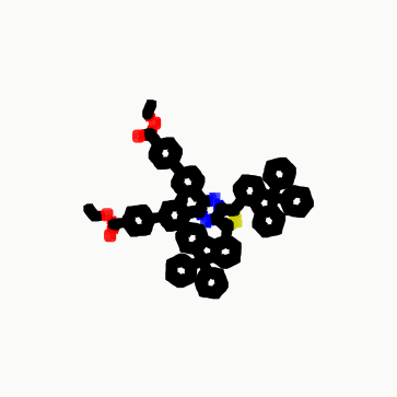 CCOC(=O)c1ccc(-c2ccc3c(c2)c2cc(-c4ccc(C(=O)OCC)cc4)ccc2c2nc4c(-c5cccc6c5-c5ccccc5C6(c5ccccc5)c5ccccc5)sc(-c5cccc6c5-c5ccccc5C6(c5ccccc5)c5ccccc5)c4nc32)cc1